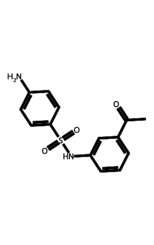 CC(=O)c1cccc(NS(=O)(=O)c2ccc(N)cc2)c1